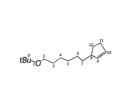 CC(C)(C)OCCCCCCC1C=CCC1